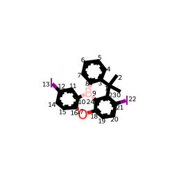 CC1(C)c2ccccc2B2c3cc(I)ccc3Oc3ccc(I)c1c32